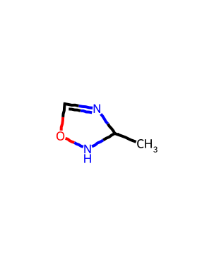 C[C]1N=CON1